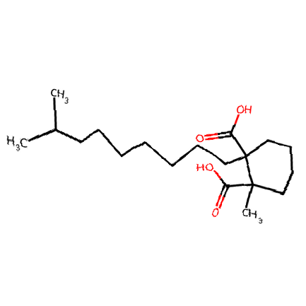 CC(C)CCCCCCCC1(C(=O)O)CCCCC1(C)C(=O)O